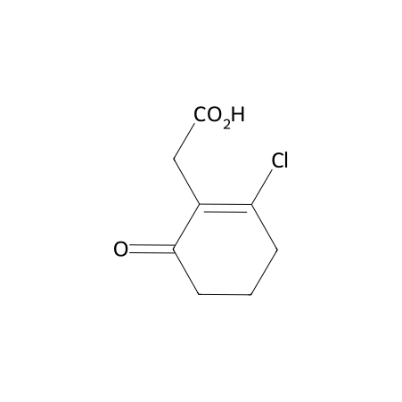 O=C(O)CC1=C(Cl)CCCC1=O